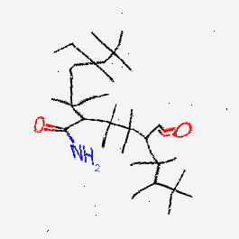 CCC(C)(CC(C)(C)C(C(N)=O)C(C)(C)C(C)(C)C(C=O)C(C)(C)C(C)C(C)(C)C)C(C)(C)C